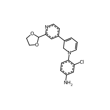 Nc1ccc(N2C=CC=C(c3ccnc(C4OCCO4)c3)C2)c(Cl)c1